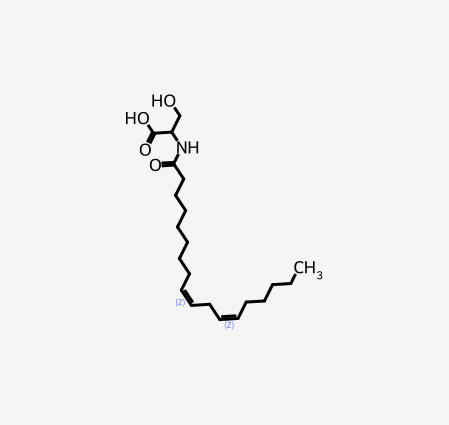 CCCCC/C=C\C/C=C\CCCCCCCC(=O)NC(CO)C(=O)O